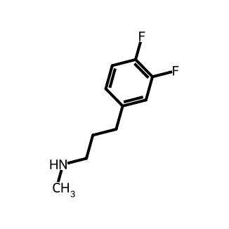 CNCCCc1ccc(F)c(F)c1